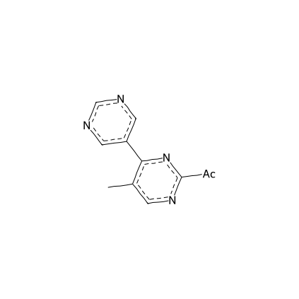 CC(=O)c1ncc(C)c(-c2cncnc2)n1